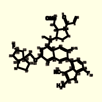 C=CC(=O)N1CCC(N(C)c2nc(OC[C@@]34CCCN3C[C@H](F)C4)nc3cc(-c4ccc(F)c5sc(N)c(C#N)c45)c(F)cc23)C1COC